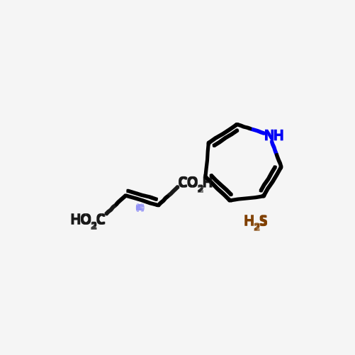 C1=CC=CNC=C1.O=C(O)/C=C/C(=O)O.S